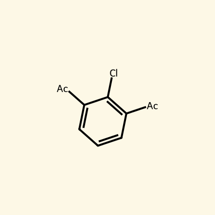 CC(=O)c1cccc(C(C)=O)c1Cl